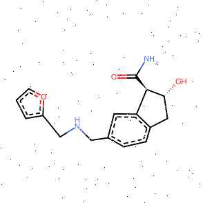 NC(=O)[C@@H]1c2cc(CNCc3ccco3)ccc2C[C@H]1O